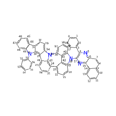 c1ccc(-c2nc3ccc4ccccc4c3nc2-n2c3cccc4c5cccc6c7c8c(ccc7n(c7cccc2c7c43)c56)c2ccccc2n8-c2ccccc2)cc1